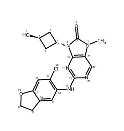 Cn1c(=O)n([C@H]2C[C@H](O)C2)c2nc(Nc3cc4c(cc3Cl)OCC4)ncc21